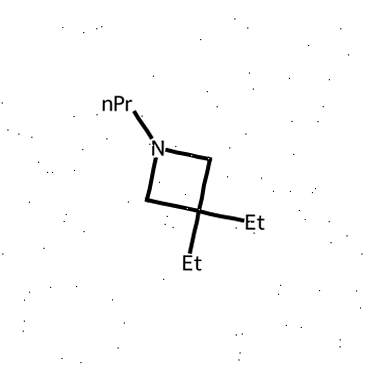 CCCN1CC(CC)(CC)C1